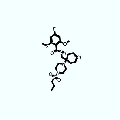 CCCS(=O)(=O)N1CCN(C2(CNC(=O)c3c(OC)cc(F)cc3SC)CCCCC2)CC1.Cl